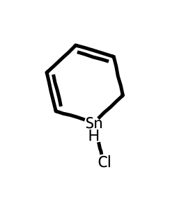 [Cl][SnH]1[CH]=CC=C[CH2]1